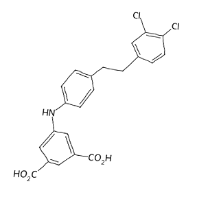 O=C(O)c1cc(Nc2ccc(CCc3ccc(Cl)c(Cl)c3)cc2)cc(C(=O)O)c1